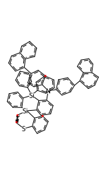 c1ccc([Si]2(c3ccccc3)c3ccccc3[Si]3(c4ccccc4Sc4ccccc43)c3cccc(N(c4ccc(-c5cccc6ccccc56)cc4)c4ccc(-c5cccc6ccccc56)cc4)c32)cc1